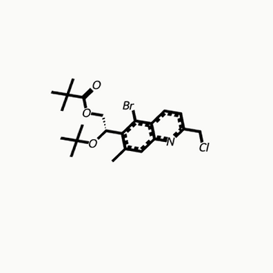 Cc1cc2nc(CCl)ccc2c(Br)c1[C@@H](COC(=O)C(C)(C)C)OC(C)(C)C